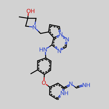 Cc1cc(Nc2ncnn3ccc(CN4CC(C)(O)C4)c23)ccc1Oc1cc[nH]/c(=N\C=N)c1